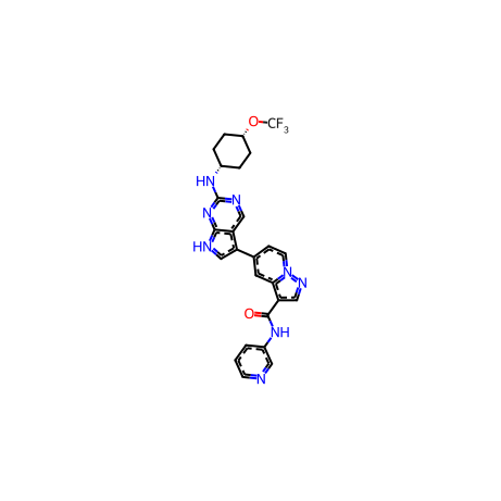 O=C(Nc1cccnc1)c1cnn2ccc(-c3c[nH]c4nc(N[C@H]5CC[C@@H](OC(F)(F)F)CC5)ncc34)cc12